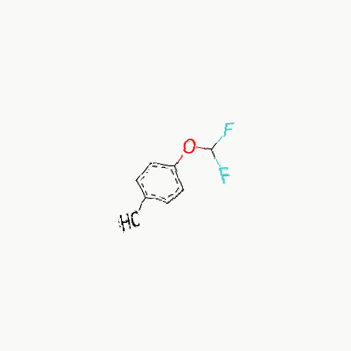 [CH]c1ccc(OC(F)F)cc1